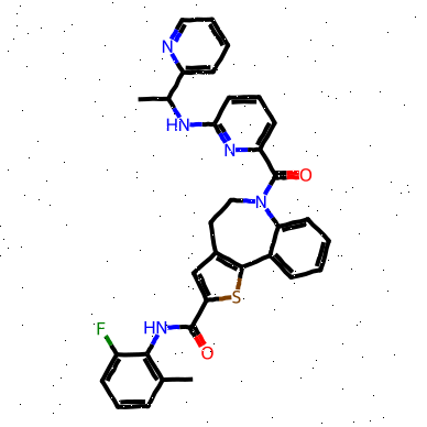 Cc1cccc(F)c1NC(=O)c1cc2c(s1)-c1ccccc1N(C(=O)c1cccc(NC(C)c3ccccn3)n1)CC2